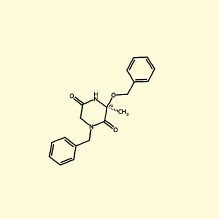 C[C@@]1(OCc2ccccc2)NC(=O)CN(Cc2ccccc2)C1=O